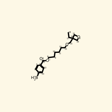 Bc1ccc(C(=O)OCCCCCCOCC2(CC)COC2)cc1